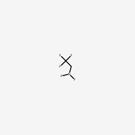 FN(F)CC(F)(F)F